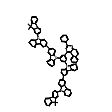 CC1(C)c2ccccc2-c2ccc(-n3c4ccccc4c4cc(-c5ccc6c(c5)c5ccccc5n6-c5cc(-c6nc(-c7ccccc7)nc7ccc8ccccc8c67)cc(-n6c7ccccc7c7cc(-c8ccc9c(c8)c8ccccc8n9-c8ccc9c(c8)C(C)(C)c8ccccc8-9)ccc76)c5)ccc43)cc21